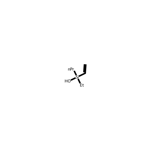 C=C[Si](O)(CC)CCC